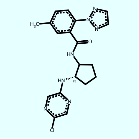 Cc1ccc(-n2nccn2)c(C(=O)NC2CCC[C@@H]2Nc2cnc(Cl)cn2)c1